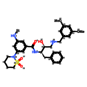 CCNc1cc(C(=O)N[C@@H](Cc2ccccc2)[C@H](O)CNCc2cc(OC)cc(OC)c2)cc(N2CCCCS2(=O)=O)c1